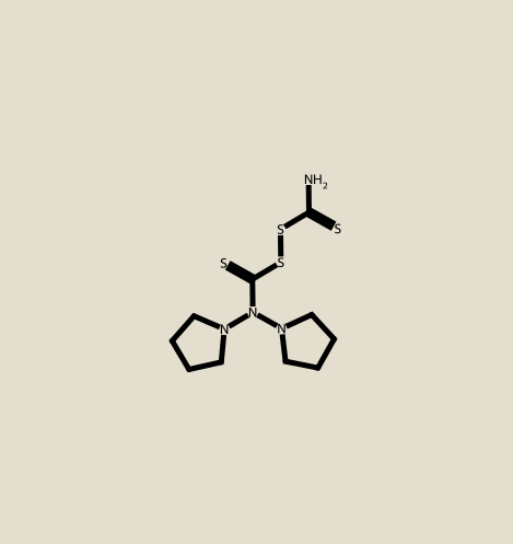 NC(=S)SSC(=S)N(N1CCCC1)N1CCCC1